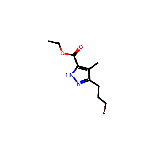 CCOC(=O)c1[nH]nc(CCCBr)c1C